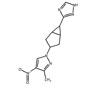 Cc1nn(C2CC3C(C2)C3c2nc[nH]n2)cc1[N+](=O)[O-]